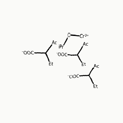 CC(C)[O][Cr+3].CCC(C(C)=O)C(=O)[O-].CCC(C(C)=O)C(=O)[O-].CCC(C(C)=O)C(=O)[O-]